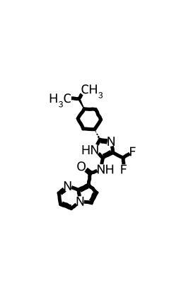 CC(C)[C@H]1CC[C@H](c2nc(C(F)F)c(NC(=O)c3ccn4cccnc34)[nH]2)CC1